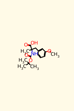 COc1cccc(CC(C)(NC(=O)OC(C)(C)C)C(=O)O)c1